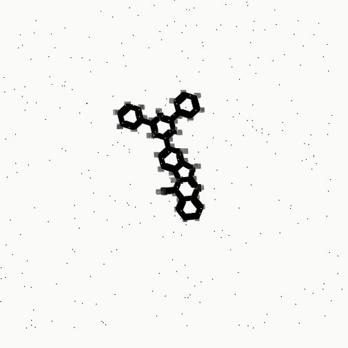 O=c1c2ccccc2nc2sc3nc(-c4nc(-c5ccccc5)nc(-c5ccccc5)n4)ccc3n12